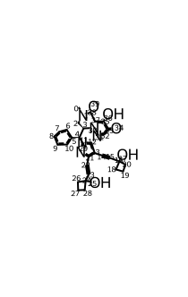 CN1C[C@H]([C@H](c2ccccc2)n2cc(C#CC3(O)CCC3)c(C#CC3(O)CCC3)n2)n2ncc(=O)c(O)c2C1=O